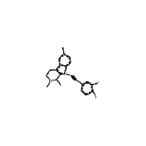 Cc1ccc2c(c1)c1c(n2C#Cc2ccc(F)c(F)c2)C(C)N(C)CC1